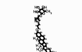 CC1OC(OCc2cn(CCCO[C@H]3CC[C@@]4(C)C(=CCC5C6CC7C([C@H](C)C8CC[C@H](C)CN78)[C@@]6(C)CCC54)C3)nn2)C(O)C(O)C1O